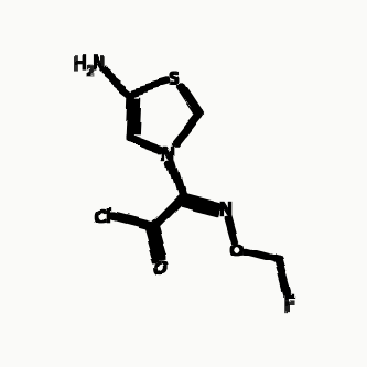 NC1=CN(C(=NOCF)C(=O)Cl)CS1